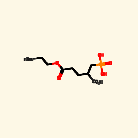 CCCCCCCCCCCCOC(=O)CCC(CP(=O)(O)O)C(=O)O